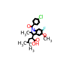 COc1cc2c(C(C[C](C)C)C(=O)O)c(C)n(C(=O)c3ccc(Cl)cc3)c2cc1F